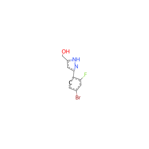 OCc1cc(-c2ccc(Br)cc2F)n[nH]1